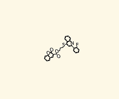 O=C(OCCCSc1cc(-c2ccccc2F)nc2ccccc12)c1cc2ccccc2oc1=O